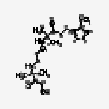 CC(C)(NCCONC(C)(C)C(=O)CCn1ccnc1[N+](=O)[O-])C(=O)CO